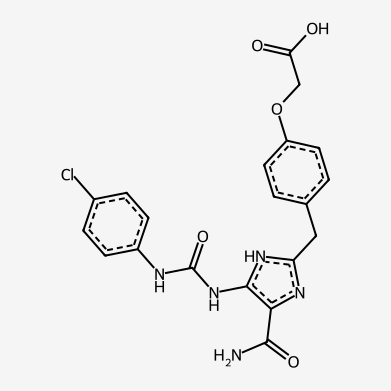 NC(=O)c1nc(Cc2ccc(OCC(=O)O)cc2)[nH]c1NC(=O)Nc1ccc(Cl)cc1